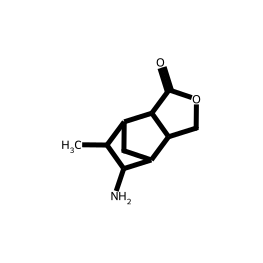 CC1C(N)C2CC1C1C(=O)OCC21